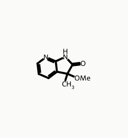 COC1(C)C(=O)Nc2ncccc21